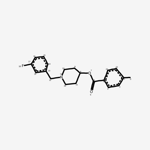 Cc1ccc(C(=O)OC2CCN(Cc3cccc(F)c3)CC2)cc1